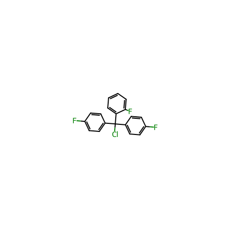 Fc1ccc(C(Cl)(c2ccc(F)cc2)c2ccccc2F)cc1